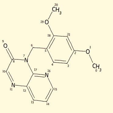 COc1ccc(Cn2c(=O)cnc3cccnc32)c(OC)c1